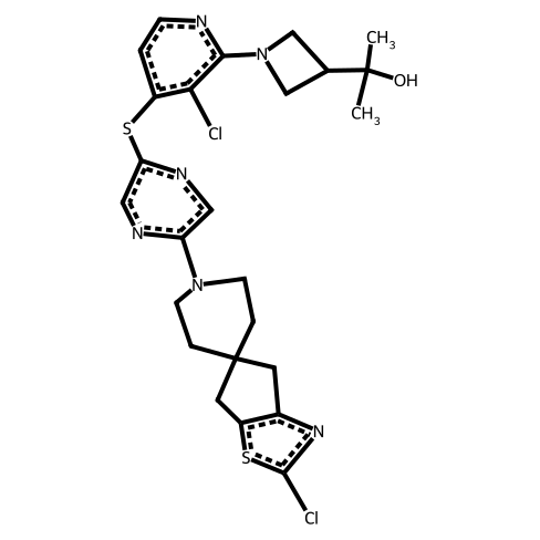 CC(C)(O)C1CN(c2nccc(Sc3cnc(N4CCC5(CC4)Cc4nc(Cl)sc4C5)cn3)c2Cl)C1